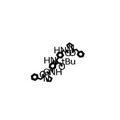 CC(C)(C)C(=O)c1c(-c2ccc(NC(=O)[C@@H]3CCCN3C(=O)Cc3ccccc3)cc2)[nH]c2ccc(NC(=O)[C@@H]3CCCN3C(=O)Cc3ccccc3)cc12